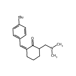 CN(C)CC1CCCC(=Cc2ccc(C(C)(C)C)cc2)C1=O